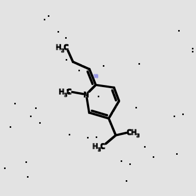 CC/C=C1/C=CC(C(C)C)=CN1C